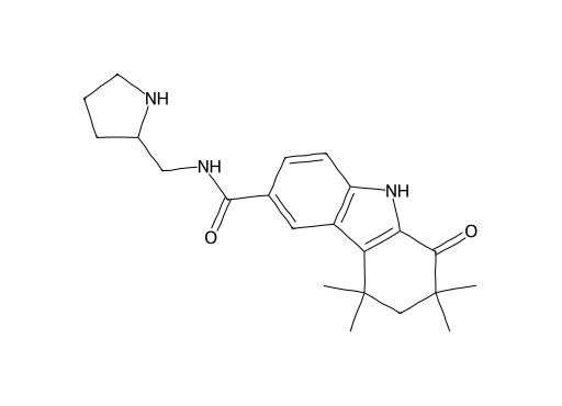 CC1(C)CC(C)(C)c2c([nH]c3ccc(C(=O)NCC4CCCN4)cc23)C1=O